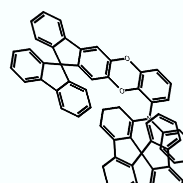 C1=CC2=C(CC1)C1=CCCC(N(c3ccccc3)c3cccc4c3Oc3cc5c(cc3O4)-c3ccccc3C53c4ccccc4-c4ccccc43)=C1C21c2ccccc2-c2ccccc21